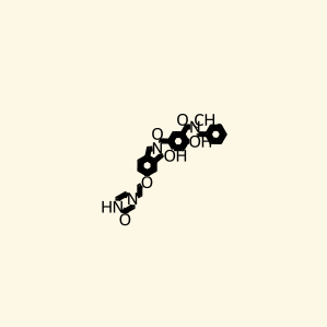 CN(Cc1ccccc1)C(=O)c1cc(C(=O)N2Cc3ccc(OCCN4CCNC(=O)C4)cc3C2)c(O)cc1O